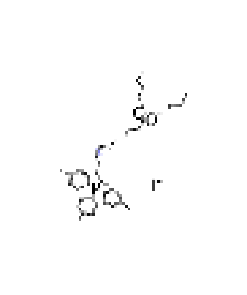 CCCCCOC(CCCCC/C=C\CCC[P+](c1ccc(C)cc1)(c1ccc(C)cc1)c1ccc(C)cc1)OCCCCC.[I-]